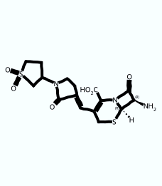 N[C@@H]1C(=O)N2C(C(=O)O)=C(C=C3CCN(C4CCS(=O)(=O)C4)C3=O)CS[C@H]12